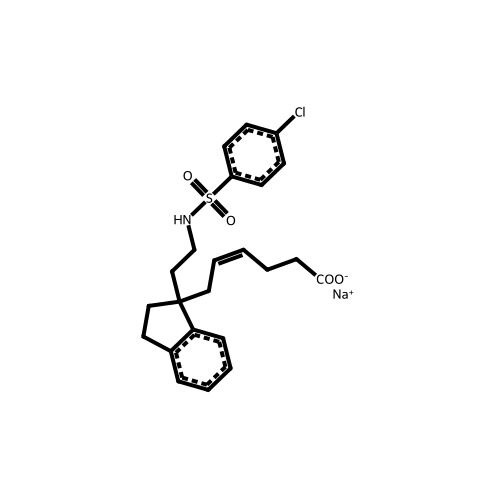 O=C([O-])CC/C=C\CC1(CCNS(=O)(=O)c2ccc(Cl)cc2)CCc2ccccc21.[Na+]